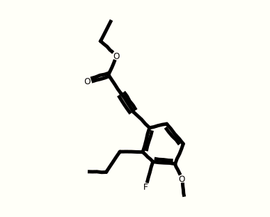 CCCc1c(C#CC(=O)OCC)ccc(OC)c1F